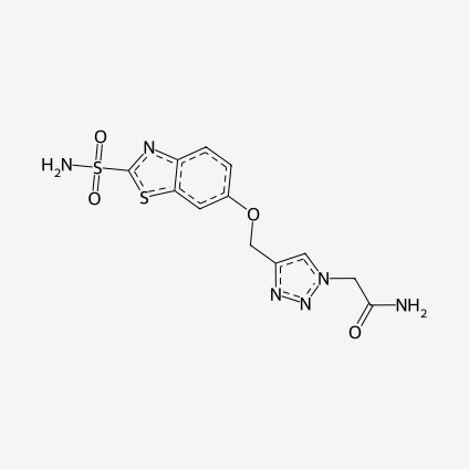 NC(=O)Cn1cc(COc2ccc3nc(S(N)(=O)=O)sc3c2)nn1